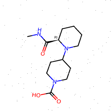 CNC(=O)[C@H]1CCCCN1C1CCN(C(=O)O)CC1